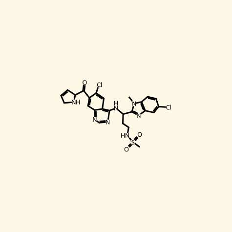 Cn1c(C(CCNS(C)(=O)=O)Nc2ncnc3cc(C(=O)C4C=CCN4)c(Cl)cc23)nc2cc(Cl)ccc21